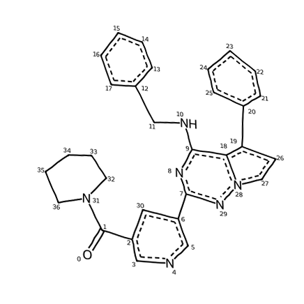 O=C(c1cncc(-c2nc(NCc3ccccc3)c3c(-c4ccccc4)ccn3n2)c1)N1CCCCC1